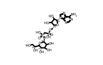 Nc1ncnc2c1ncn2[C@@H]1O[C@H](COP(=O)(O)CP(=O)(O)O[C@@H]2OC([C@H](O)CO)[C@@H](O)C(O)C2O)C(O)C1O